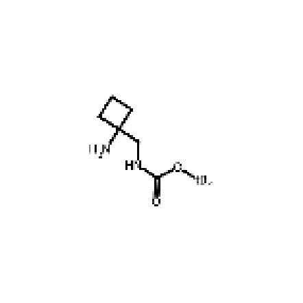 CC(C)(C)OC(=O)NCC1(N)CCC1